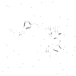 CN(C)Cc1cccc(OCCCNc2ncc(Cc3ccc(CN(C)C)s3)c(=O)[nH]2)c1